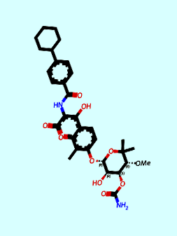 CO[C@@H]1[C@@H](OC(N)=O)[C@@H](O)[C@H](Oc2ccc3c(O)c(NC(=O)c4ccc(C5CCCCC5)cc4)c(=O)oc3c2C)OC1(C)C